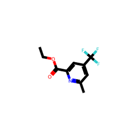 CCOC(=O)c1cc(C(F)(F)F)cc(C)n1